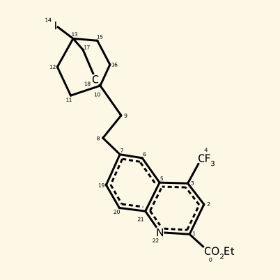 CCOC(=O)c1cc(C(F)(F)F)c2cc(CCC34CCC(I)(CC3)CC4)ccc2n1